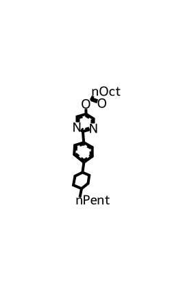 CCCCCCCCC(=O)Oc1cnc(-c2ccc(C3CCC(CCCCC)CC3)cc2)nc1